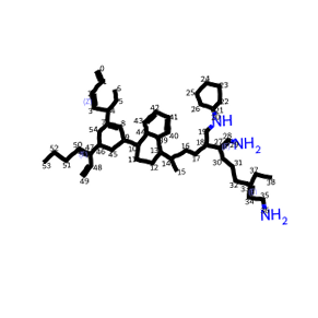 C=C/C=C\C(CC)C1=CC(C2CCC(C(C)CCC(CNC3CCCCC3)/C(=C/N)CCC/C(=C/CN)CC)C3C=CC=CC32)CC(/C(C=C)=C/CCC)C1